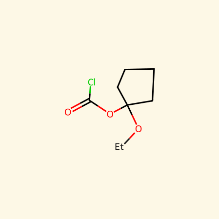 CCOC1(OC(=O)Cl)CCCC1